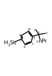 CCCC(C)(C)c1ccc([SiH3])cc1